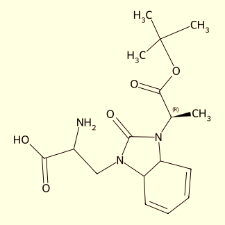 C[C@H](C(=O)OC(C)(C)C)N1C(=O)N(CC(N)C(=O)O)C2C=CC=CC21